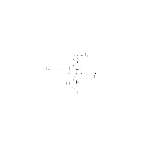 CC1CCC([C@H](NC(=O)OC(C)(C)C)C(=O)Nc2ncc([C@@H](CN3CCOC[C@@H]3C)N3CC(F)(F)CNC3=O)s2)CC1